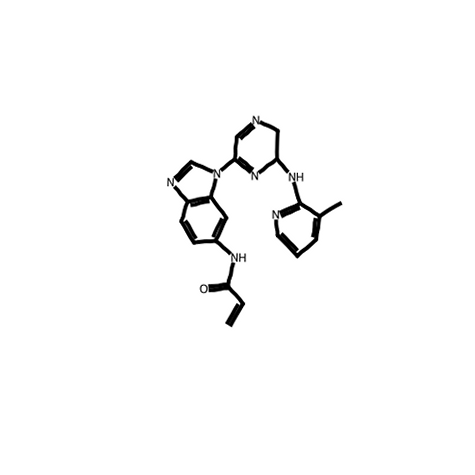 C=CC(=O)Nc1ccc2ncn(C3=NC(Nc4ncccc4C)CN=C3)c2c1